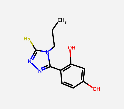 CCCn1c(S)nnc1-c1ccc(O)cc1O